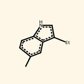 CCc1c[nH]c2ccc(C)cc12